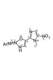 CC(=O)NN1NC=C(c2ncc([N+](=O)[O-])n2C)O1